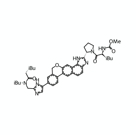 CC[C@@H](C)CC(=O)N(Cc1ncc(-c2ccc3c(c2)COc2cc4c(ccc5nc([C@@H]6CCCN6C(=O)[C@@H](NC(=O)OC)[C@H](C)CC)[nH]c54)cc2-3)[nH]1)[C@@H](C)CC